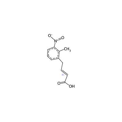 Cc1c(C/C=C/C(=O)O)cccc1[N+](=O)[O-]